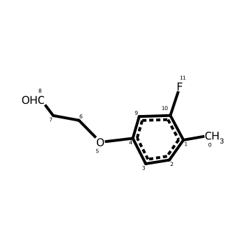 Cc1ccc(OCCC=O)cc1F